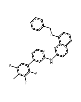 Cc1c(F)cc(-c2cc(Nc3ccc4cccc(OCc5ccccc5)c4n3)ncn2)c(F)c1F